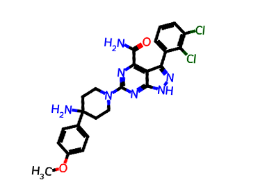 COc1ccc(C2(N)CCN(c3nc(C(N)=O)c4c(-c5cccc(Cl)c5Cl)n[nH]c4n3)CC2)cc1